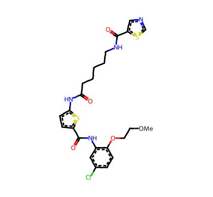 COCCOc1ccc(Cl)cc1NC(=O)c1ccc(NC(=O)CCCCCNC(=O)c2cncs2)s1